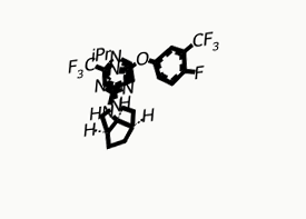 CC(C)n1nc(N[C@H]2[C@@H]3CC[C@H]2CN(c2ccnc(C(F)(F)F)c2)C3)nc1Oc1ccc(F)c(C(F)(F)F)c1